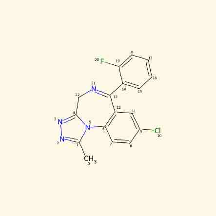 Cc1nnc2n1-c1ccc(Cl)cc1C(c1ccccc1F)=NC2